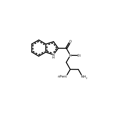 CCCCCC(CN)CN(CC)C(=O)c1cc2ccccc2[nH]1